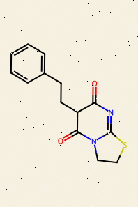 O=C1N=C2SCCN2C(=O)C1CCc1ccccc1